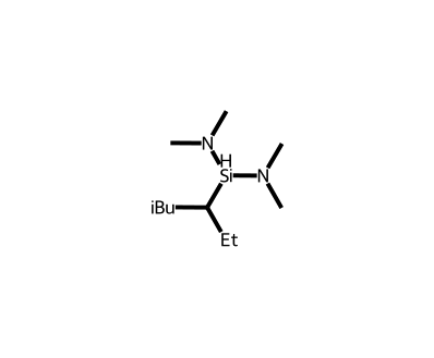 CCC(C)C(CC)[SiH](N(C)C)N(C)C